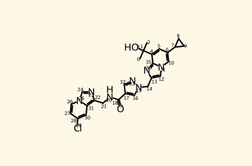 CC(C)(O)c1cc(C2CC2)cn2cc(Cn3cc(C(=O)NCc4ncn5ccc(Cl)cc45)cn3)nc12